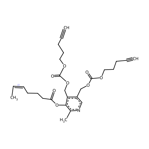 C#CCCCOC(=O)OCc1cnc(C)c(OC(=O)CCC/C=C\C)c1COC(=O)OCCCC#C